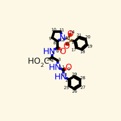 O=C(NCC(NC(=O)C1CCCN1S(=O)(=O)c1ccccc1)C(=O)O)Nc1ccccc1